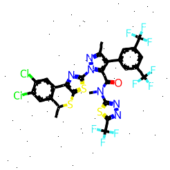 Cc1nn(-c2nc3c(s2)SC(C)c2cc(Cl)c(Cl)cc2-3)c(C(=O)N(C)c2nnc(C(F)(F)F)s2)c1-c1cc(C(F)(F)F)cc(C(F)(F)F)c1